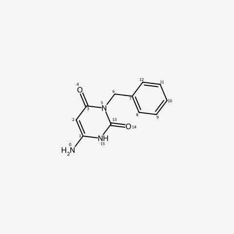 Nc1cc(=O)n(Cc2ccccc2)c(=O)[nH]1